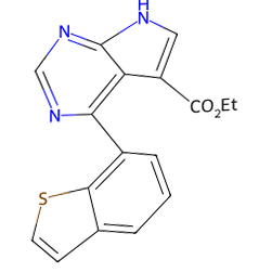 CCOC(=O)c1c[nH]c2ncnc(-c3cccc4ccsc34)c12